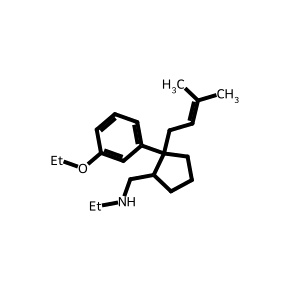 CCNCC1CCCC1(CC=C(C)C)c1cccc(OCC)c1